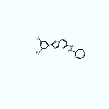 O=C(/C=C\n1cnc(-c2cc(C(F)(F)F)cc(C(F)(F)F)c2)n1)NNC1CCC=CC=N1